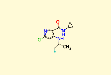 C[C@H](CF)Nc1cc(Cl)ncc1C(=O)NC1CC1